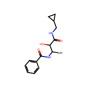 CCCC(NC(=O)c1ccccc1)C(O)C(=O)NCC1CC1